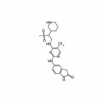 CS(=O)(=O)C(CNc1nc(Nc2ccc3c(c2)CC(=O)N3)ncc1C(F)(F)F)C1CCCNC1